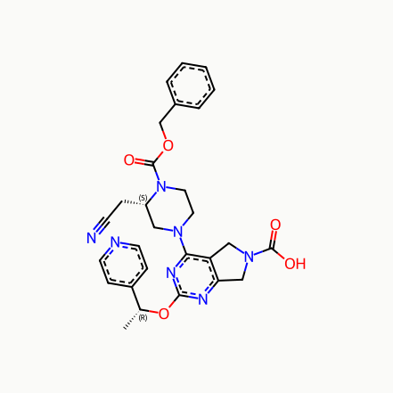 C[C@@H](Oc1nc2c(c(N3CCN(C(=O)OCc4ccccc4)[C@@H](CC#N)C3)n1)CN(C(=O)O)C2)c1ccncc1